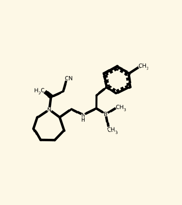 C=C(CC#N)N1CCCCCC1CNC(Cc1ccc(C)cc1)B(C)C